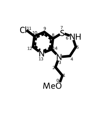 COCCN1CCNSc2cc(Cl)cnc21